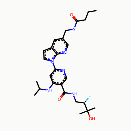 CCCC(=O)NCc1cnc2c(ccn2-c2cc(NC(C)C)c(C(=O)NC[C@@H](F)C(C)(C)O)cn2)c1